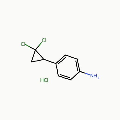 Cl.Nc1ccc(C2CC2(Cl)Cl)cc1